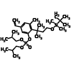 C=Cc1cc(C)c(C(C)(C)CCO[Si](C)(C)C(C)(C)C)c(OP(=O)(OCC(C)C)OCC(C)C)c1